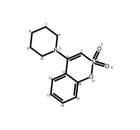 O=S1(=O)C=C(N2CCCCC2)c2ccccc2O1